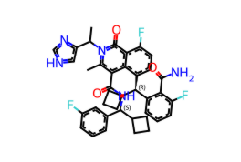 Cc1c(C(=O)N[C@H](c2cccc(F)c2)C2CCC2)c2c([C@@H](c3cccc(F)c3C(N)=O)C3CCC3)ccc(F)c2c(=O)n1C(C)c1c[nH]cn1